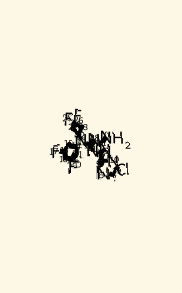 Nc1nc(-c2cncc(Cl)n2)nc(N(c2cc(F)cc(F)c2)C2CC(F)(F)C2)n1